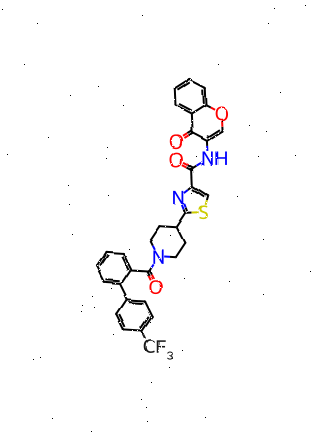 O=C(Nc1coc2ccccc2c1=O)c1csc(C2CCN(C(=O)c3ccccc3-c3ccc(C(F)(F)F)cc3)CC2)n1